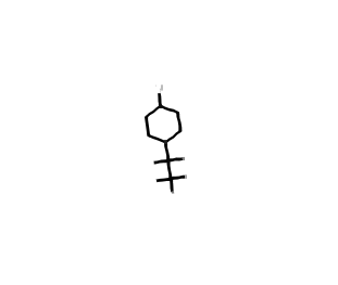 NC1CCC(C(F)(F)C(F)(F)F)CC1